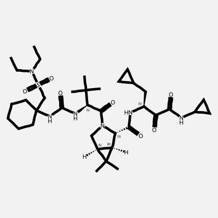 CCN(CC)S(=O)(=O)CC1(NC(=O)N[C@H](C(=O)N2C[C@H]3[C@@H]([C@H]2C(=O)N[C@@H](CC2CC2)C(=O)C(=O)NC2CC2)C3(C)C)C(C)(C)C)CCCCC1